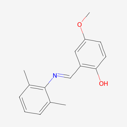 COc1ccc(O)c(/C=N/c2c(C)cccc2C)c1